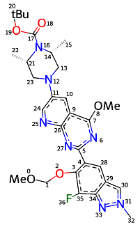 COCOc1c(-c2nc(OC)c3cc(N4C[C@@H](C)N(C(=O)OC(C)(C)C)[C@@H](C)C4)cnc3n2)cc2cn(C)nc2c1F